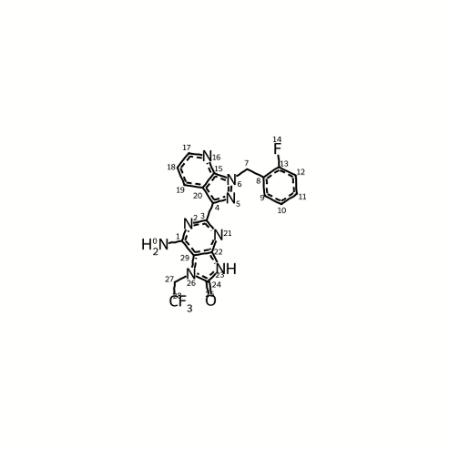 Nc1nc(-c2nn(Cc3ccccc3F)c3ncccc23)nc2[nH]c(=O)n(CC(F)(F)F)c12